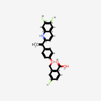 C=C(c1ccc(OCc2cc(F)ccc2C(=O)O)cc1)c1ccc2cc(F)c(F)cc2n1